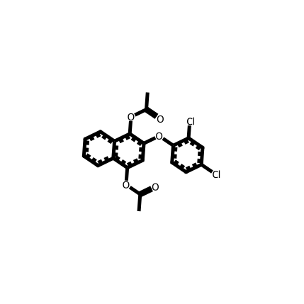 CC(=O)Oc1cc(Oc2ccc(Cl)cc2Cl)c(OC(C)=O)c2ccccc12